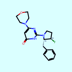 O=c1cc(N2CCOCC2)nc(N2CC[C@@H](F)[C@@H]2Cc2ccccc2)[nH]1